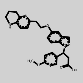 COc1ccc(C(CC(=O)O)n2ncc3cc(OCCc4ccc5c(n4)CCCN5)ccc32)cn1